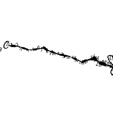 CC#CC#CC#CC#CC#CC#CC#CC#CC#CC#CC(=O)O